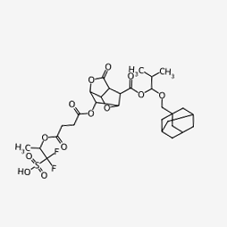 CC(C)C(OCC12CC3CC(CC(C3)C1)C2)OC(=O)C1C2OC3C(OC(=O)C31)C2OC(=O)CCC(=O)OC(C)C(F)(F)S(=O)(=O)O